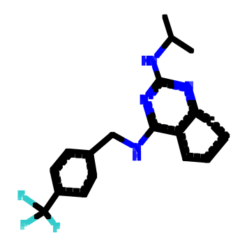 CC(C)Nc1nc(NCc2ccc(C(F)(F)F)cc2)c2ccccc2n1